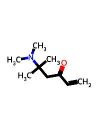 C=CC(=O)CC(C)(C)N(C)C